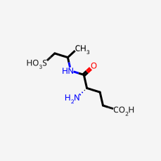 CC(CS(=O)(=O)O)NC(=O)[C@@H](N)CCC(=O)O